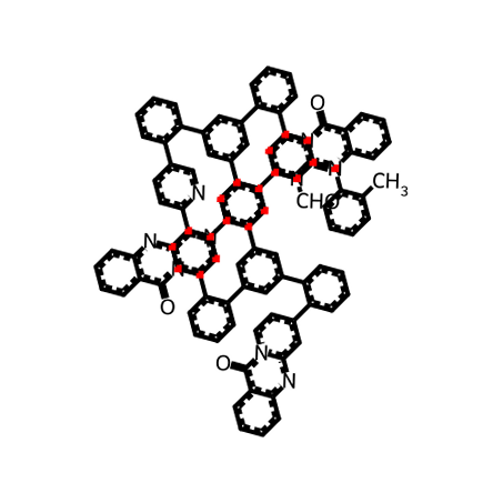 Cc1ccccc1/N=c1/cc(-c2ccccc2-c2cc(-c3ccccc3-c3ccc(-c4ccc(-c5ccccc5-c5cc(-c6ccccc6-c6ccn7c(=O)c8ccccc8nc7c6)cc(-c6ccccc6-c6ccn7c(=O)c8ccccc8nc7c6)c5)cn4)nc3)cc(-c3ccccc3-c3ccn4c(=O)c5ccccc5nc4c3)c2)ccn1C=O